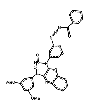 COc1cc(Nc2nc3ccccc3nc2N(c2cccc(N=[N+]=NC(=O)c3ccccc3)c2)[SH](=O)=O)cc(OC)c1